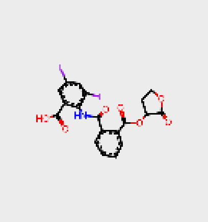 O=C(Nc1c(I)cc(I)cc1C(=O)O)c1ccccc1C(=O)OC1CCOC1=O